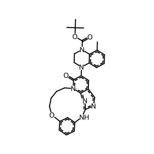 Cc1cccc2c1N(C(=O)OC(C)(C)C)CCN2c1cc2cnc3nc2n(c1=O)CCCCOc1cccc(c1)N3